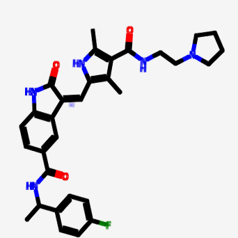 Cc1[nH]c(/C=C2\C(=O)Nc3ccc(C(=O)NC(C)c4ccc(F)cc4)cc32)c(C)c1C(=O)NCCN1CCCC1